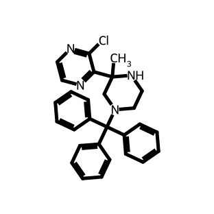 CC1(c2nccnc2Cl)CN(C(c2ccccc2)(c2ccccc2)c2ccccc2)CCN1